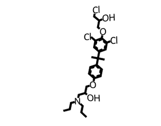 CCCN(CCC)CC(O)COc1ccc(C(C)(C)c2cc(Cl)c(OCC(O)CCl)c(Cl)c2)cc1